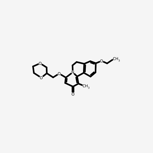 CCOc1ccc2c(c1)CCn1c(OCC3COCCO3)cc(=O)c(C)c1-2